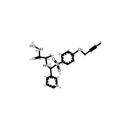 CC#CCOc1ccc(S(=O)(=O)C(NC(C)C(=O)NO)c2cccnc2)cc1